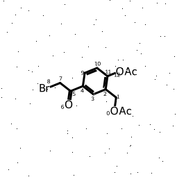 CC(=O)OCc1cc(C(=O)CBr)ccc1OC(C)=O